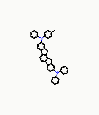 Cc1ccc(N(c2ccccc2)c2ccc3c(c2)Cc2c-3ccc3c2Cc2cc(N(c4ccccc4)c4ccccc4)ccc2-3)cc1